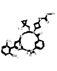 Cc1cccc(C)c1-c1cc2nc(n1)NS(=O)(=O)c1cccc(c1)C(=O)N(C1CC(NC(=O)OC(C)C)C1)[C@H](CC1(C(F)(F)F)CC1)CO2